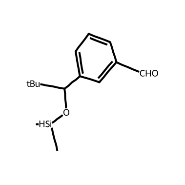 C[SiH](C)OC(c1cccc(C=O)c1)C(C)(C)C